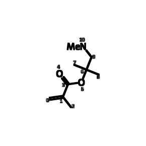 C=C(C)C(=O)OC(C)(C)CNC